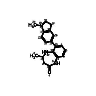 C[C@@H]1CC(=O)Nc2cccc(-c3ccc4c(c3)CCN4C)c2N1